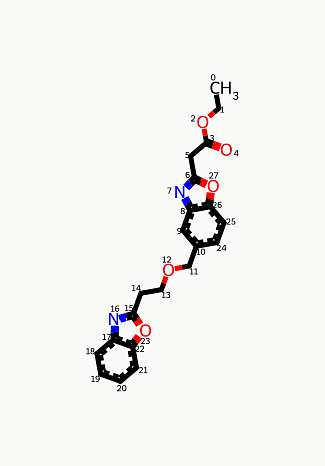 CCOC(=O)Cc1nc2cc(COCCc3nc4ccccc4o3)ccc2o1